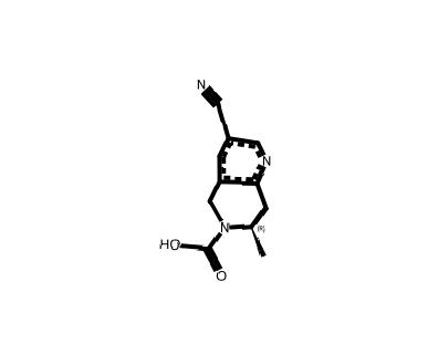 C[C@@H]1Cc2ncc(C#N)cc2CN1C(=O)O